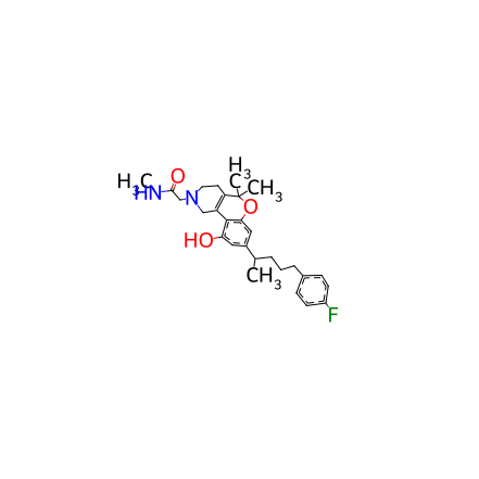 CNC(=O)CN1CCC2=C(C1)c1c(O)cc(C(C)CCCc3ccc(F)cc3)cc1OC2(C)C